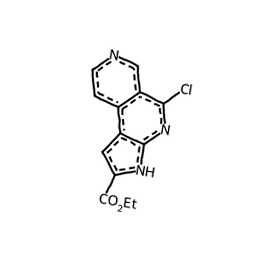 CCOC(=O)c1cc2c(nc(Cl)c3cnccc32)[nH]1